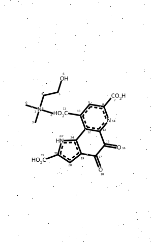 C[N+](C)(C)CCO.O=C(O)c1cc(C(=O)O)c2c(n1)C(=O)C(=O)c1cc(C(=O)O)[nH]c1-2